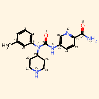 Cc1cccc(N(C(=O)Nc2ccc(C(N)=O)nc2)C2CCNCC2)c1